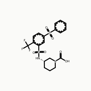 O=C(O)N1CCC[C@H](NS(=O)(=O)c2cc(S(=O)(=O)c3ccccc3)ccc2C(F)(F)F)C1